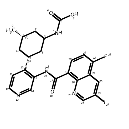 C[C@@H]1CC(NC(=O)O)C[C@H](c2ccncc2NC(=O)c2ccc(F)c3cc(I)cnc23)C1